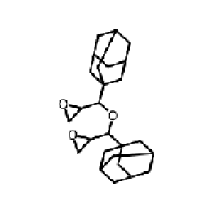 C1C2CC3CC1CC(C(OC(C1CO1)C14CC5CC(CC(C5)C1)C4)C1CO1)(C2)C3